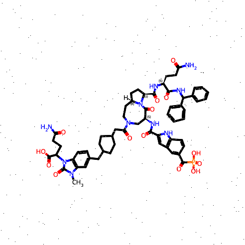 Cn1c(=O)n(C(CCC(N)=O)C(=O)O)c2ccc(CC3CCC(CC(=O)N4CC[C@H]5CC[C@@H](C(=O)N[C@@H](CCC(N)=O)C(=O)NC(c6ccccc6)c6ccccc6)N5C(=O)[C@@H](NC(=O)c5cc6cc(C(=O)P(=O)(O)O)ccc6[nH]5)C4)CC3)cc21